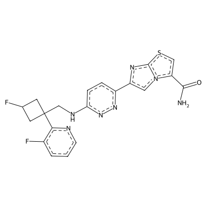 NC(=O)c1csc2nc(-c3ccc(NCC4(c5ncccc5F)CC(F)C4)nn3)cn12